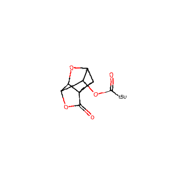 CC(C)(C)C(=O)OC1C2CC3C(=O)OC1C3O2